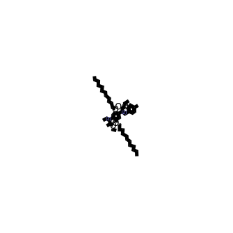 C/C=C(/c1cc(OCCCCCCCCCCCC)c(/C(=C/c2ccc(C)cc2)C(=O)OCC)cc1OCCCCCCCCCCCC)C(C)OCC